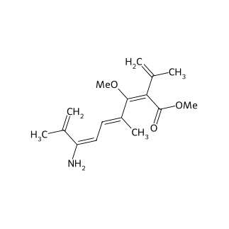 C=C(C)\C(N)=C/C=C(C)/C(OC)=C(/C(=C)C)C(=O)OC